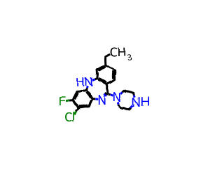 CCc1ccc2c(c1)Nc1cc(F)c(Cl)cc1N=C2N1CCNCC1